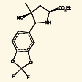 CCOC(=O)[C@@H]1C[C@](C)(C#N)C(c2ccc3c(c2)OC(F)(F)O3)N1